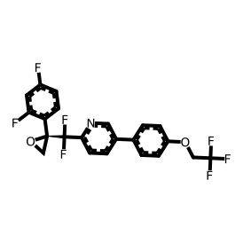 Fc1ccc([C@]2(C(F)(F)c3ccc(-c4ccc(OCC(F)(F)F)cc4)cn3)CO2)c(F)c1